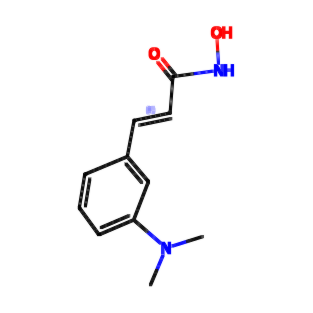 CN(C)c1cccc(/C=C/C(=O)NO)c1